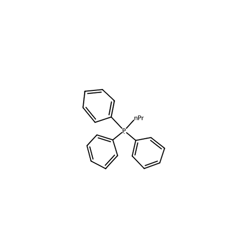 CCC[P](c1ccccc1)(c1ccccc1)c1ccccc1